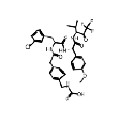 COc1ccc([C@H](NC(=O)[C@H](Cc2cccc(Cl)c2)NC(=O)Cc2ccc(CNC(=O)O)cc2)C(=O)N[C@H](C(=O)C(F)(F)F)C(C)C)cc1